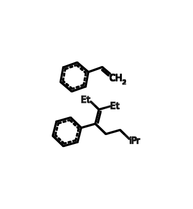 C=Cc1ccccc1.CCC(CC)=C(CCC(C)C)c1ccccc1